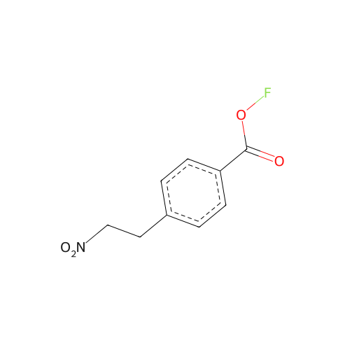 O=C(OF)c1ccc(CC[N+](=O)[O-])cc1